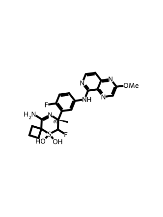 COc1cnc2c(Nc3ccc(F)c([C@@]4(C)N=C(N)C5(CCC5)S(O)(O)C4F)c3)nccc2n1